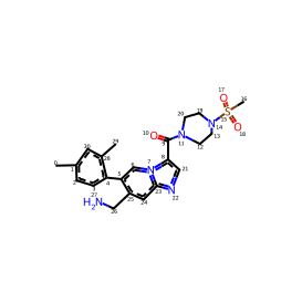 Cc1ccc(-c2cn3c(C(=O)N4CCN(S(C)(=O)=O)CC4)cnc3cc2CN)c(C)c1